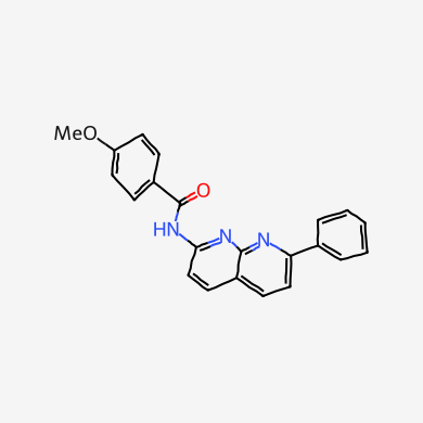 COc1ccc(C(=O)Nc2ccc3ccc(-c4ccccc4)nc3n2)cc1